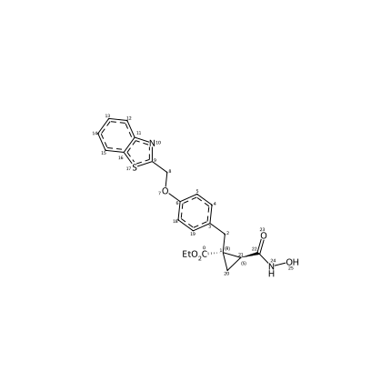 CCOC(=O)[C@@]1(Cc2ccc(OCc3nc4ccccc4s3)cc2)C[C@@H]1C(=O)NO